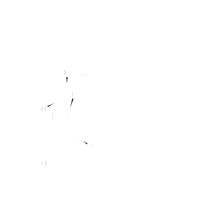 C[C@]12CC[C@H]3[C@@H](C=C[C@]4(O)CCCC[C@]34C)[C@@H]1[C@@H]1C[C@@H]1[C@@]2(O)C#CCOCc1ccccc1